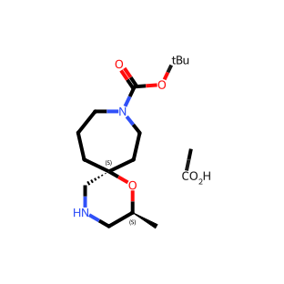 CC(=O)O.C[C@H]1CNC[C@@]2(CCCN(C(=O)OC(C)(C)C)CC2)O1